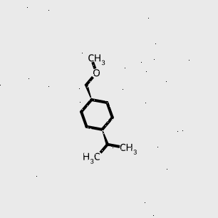 COC[C@H]1CC[C@@H](C(C)C)CC1